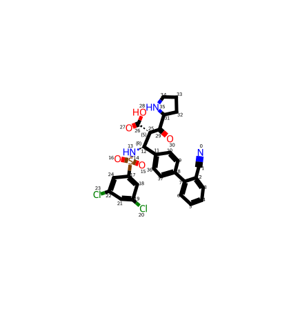 N#Cc1ccccc1-c1ccc([C@H](NS(=O)(=O)c2cc(Cl)cc(Cl)c2)[C@H](C(=O)O)C(=O)C2CCCN2)cc1